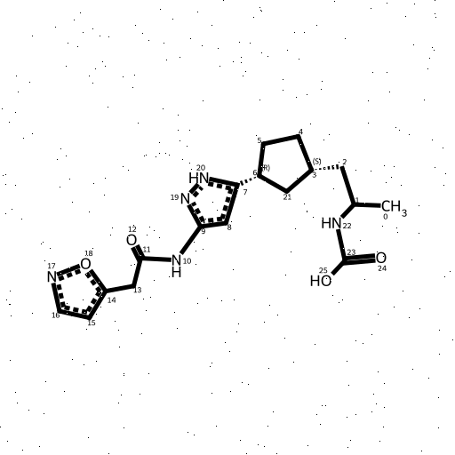 CC(C[C@H]1CC[C@@H](c2cc(NC(=O)Cc3ccno3)n[nH]2)C1)NC(=O)O